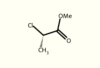 COC(=O)[C@H](C)Cl